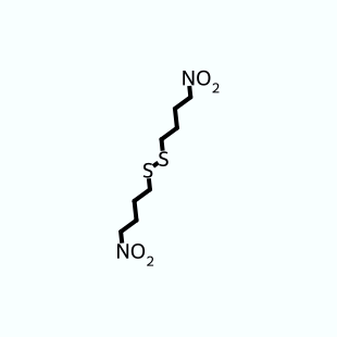 O=[N+]([O-])CCCCSSCCCC[N+](=O)[O-]